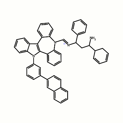 NC(CC(/N=C/N1c2ccccc2-c2c(n(-c3cccc(-c4ccc5ccccc5c4)c3)c3ccccc23)-c2ccccc21)c1ccccc1)C1C=CC=CC1